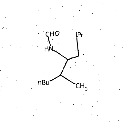 CCCCC(C)C(CC(C)C)NC=O